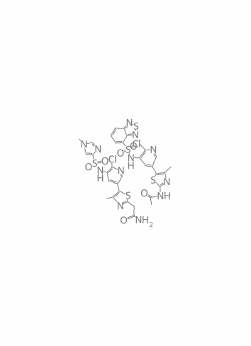 CC(=O)Nc1nc(C)c(-c2cnc(Cl)c(NS(=O)(=O)c3cccc4nsnc34)c2)s1.Cc1nc(CC(N)=O)sc1-c1cnc(Cl)c(NS(=O)(=O)c2cn(C)cn2)c1